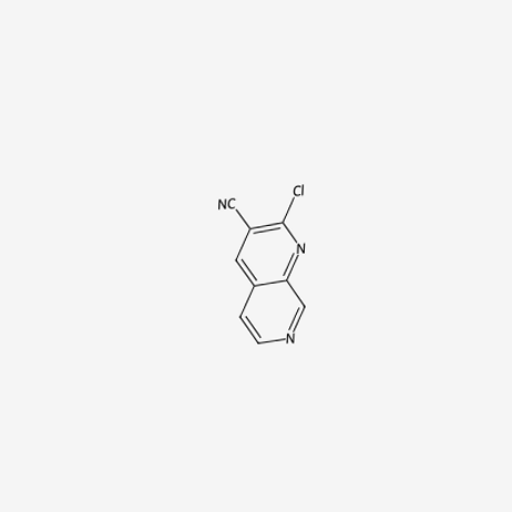 N#Cc1cc2ccncc2nc1Cl